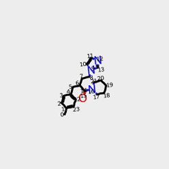 Cc1ccc(CC(CCn2ccnc2)C(=O)N2CCCCC2)cc1